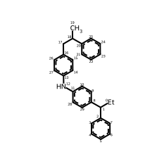 CCC(c1ccccc1)c1ccc(Nc2ccc(CC(C)c3ccccc3)cc2)cc1